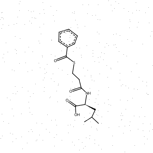 CC(C)C[C@H](NC(=O)CCSC(=O)c1ccccc1)C(=O)O